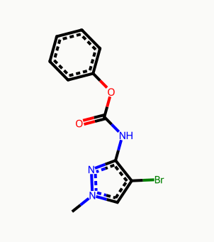 Cn1cc(Br)c(NC(=O)Oc2ccccc2)n1